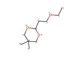 C[CH]OCCC1OCC(C)(C)CO1